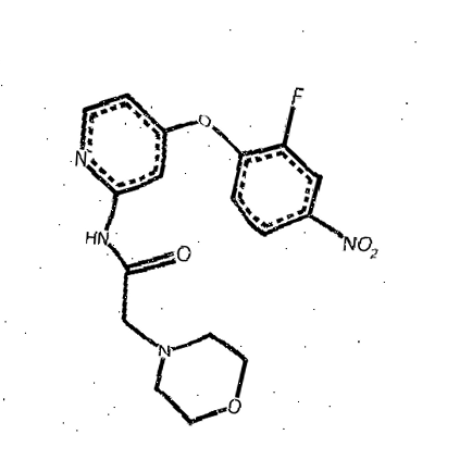 O=C(CN1CCOCC1)Nc1cc(Oc2ccc([N+](=O)[O-])cc2F)ccn1